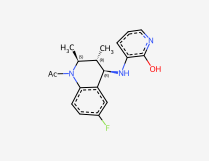 CC(=O)N1c2ccc(F)cc2[C@H](Nc2cccnc2O)[C@@H](C)[C@@H]1C